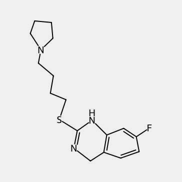 Fc1ccc2c(c1)NC(SCCCCN1CCCC1)=NC2